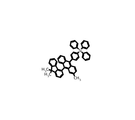 Cc1ccc2c(-c3ccc([Si](c4ccccc4)(c4ccccc4)c4ccccc4)cc3)c3ccccc3c(-c3cccc4c3-c3ccccc3C4(C)C)c2c1